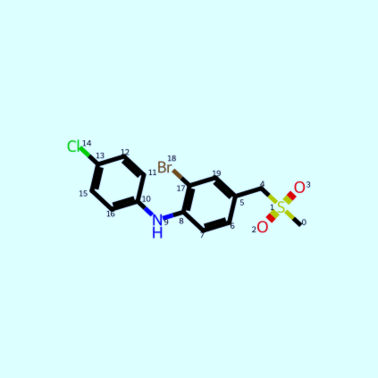 CS(=O)(=O)Cc1ccc(Nc2ccc(Cl)cc2)c(Br)c1